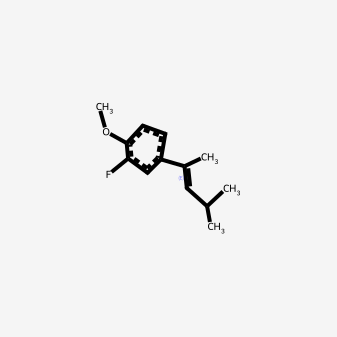 COc1ccc(/C(C)=C/C(C)C)cc1F